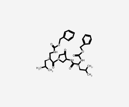 CC(C)C[C@@H](CNC(=O)OCc1ccccc1)C(=O)N1CC(=O)C(NC(=O)[C@H](CC(C)C)NC(=O)OCc2ccccc2)C1